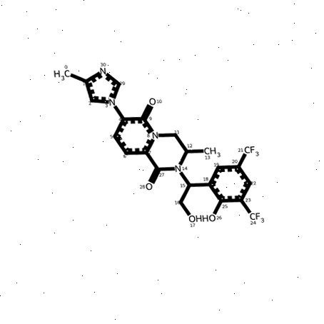 Cc1cn(-c2ccc3n(c2=O)CC(C)N(C(CO)c2cc(C(F)(F)F)cc(C(F)(F)F)c2O)C3=O)cn1